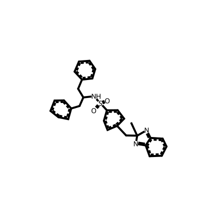 CC1(Cc2ccc(S(=O)(=O)NC(Cc3ccccc3)Cc3ccccc3)cc2)N=c2ccccc2=N1